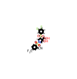 N#Cc1cc(C(F)(F)F)ccc1S(=O)(=O)N1C[C@H](S(=O)(=O)c2ccc(F)c(F)c2)[C@](O)(CO)C1